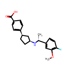 COc1cc([C@@H](C)N[C@H]2CC[C@@H](c3ccc(C(=O)O)cc3)C2)ccc1F